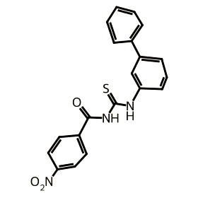 O=C(NC(=S)Nc1cccc(-c2ccccc2)c1)c1ccc([N+](=O)[O-])cc1